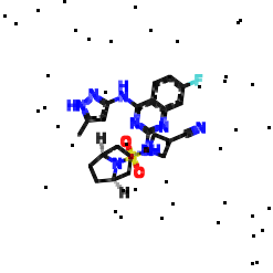 Cc1cc(Nc2nc(N[C@@H]3C[C@H]4CC[C@@H](C3)N4S(=O)(=O)N3CC(C#N)C3)nc3cc(F)ccc23)n[nH]1